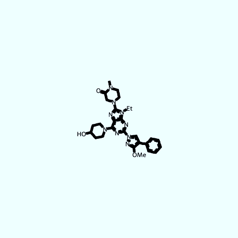 CCn1c(N2CCN(C)C(=O)C2)nc2c(N3CCC(O)CC3)nc(-n3cc(-c4ccccc4)c(OC)n3)nc21